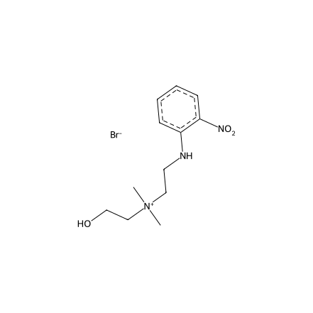 C[N+](C)(CCO)CCNc1ccccc1[N+](=O)[O-].[Br-]